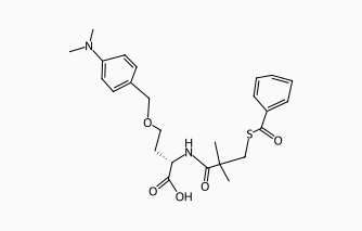 CN(C)c1ccc(COCC[C@H](NC(=O)C(C)(C)CSC(=O)c2ccccc2)C(=O)O)cc1